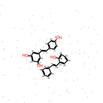 Oc1ccc(/C=C/c2cc(O)cc(O)c2)cc1.Oc1ccccc1/C=C/c1ccccc1